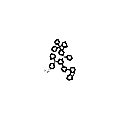 Cc1ccc(N(c2ccccc2)c2cc(-c3cccc(-c4cccc5oc6ccccc6c45)c3)cc(N(c3ccccc3)c3ccc4c(c3)-c3ccccc3C4(c3ccccc3)c3ccccc3)c2)cc1